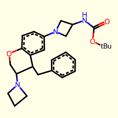 CC(C)(C)OC(=O)NC1CN(c2ccc3c(c2)C(Cc2ccccc2)C(N2CCC2)CO3)C1